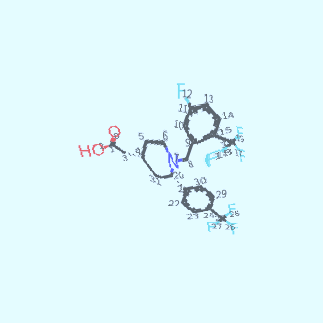 O=C(O)C[C@@H]1CCN(Cc2cc(F)ccc2C(F)(F)F)[C@H](c2ccc(C(F)(F)F)cc2)C1